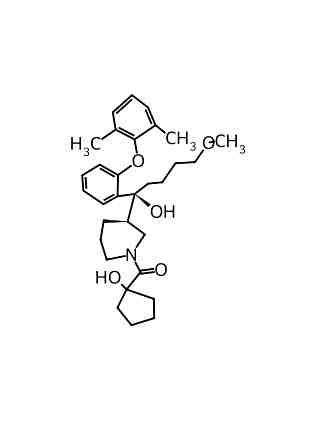 COCCCC[C@@](O)(c1ccccc1Oc1c(C)cccc1C)[C@@H]1CCCN(C(=O)C2(O)CCCC2)C1